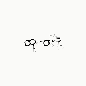 Cc1ccc(C)n1-c1nc2cc(C=Nc3ccc4ccccc4c3C#N)ccc2n1C